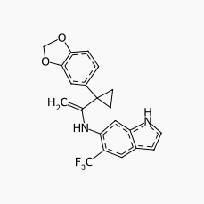 C=C(Nc1cc2[nH]ccc2cc1C(F)(F)F)C1(c2ccc3c(c2)OCO3)CC1